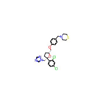 Clc1ccc([C@@]2(Cn3cncn3)CC[C@H](COc3ccc(CN4CCSCC4)cc3)O2)c(Cl)c1